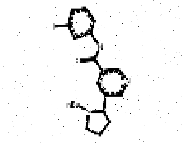 CCCCN1CCCC1c1cncc(C(=O)Nc2cccc(I)c2)c1